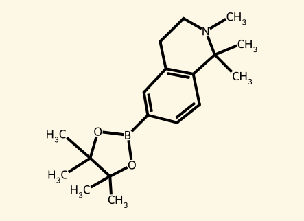 CN1CCc2cc(B3OC(C)(C)C(C)(C)O3)ccc2C1(C)C